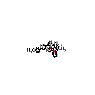 Cn1ccc(-c2ccc(-c3cnn4c(N)c(S(C)(=O)=O)c(C5CC6CCC(C5)N6C(=O)c5cn[nH]n5)nc34)cn2)n1